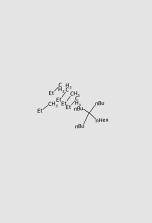 CCC.CCC.CCC.CCC.CCC.CCCCCCC(CCCC)(CCCC)CCCC